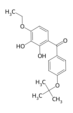 CCOc1ccc(C(=O)c2ccc(OC(C)(C)C)cc2)c(O)c1O